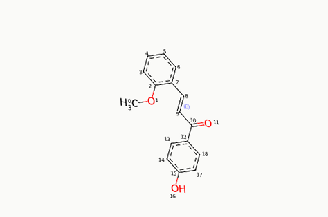 COc1ccccc1/C=C/C(=O)c1ccc(O)cc1